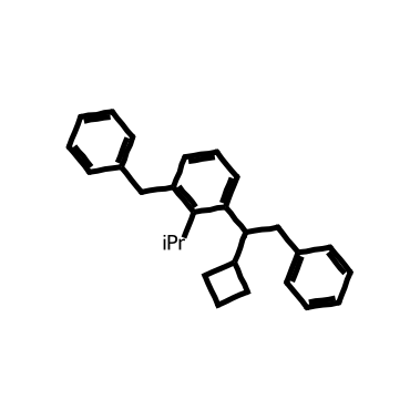 CC(C)c1c(Cc2ccccc2)cccc1[C](Cc1ccccc1)C1CCC1